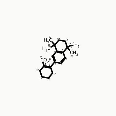 CCOC(=O)C1=C(c2ccc3c(c2)C(C)(C)CCC3(C)C)CCCC1